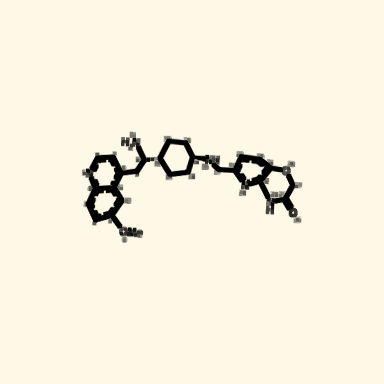 COc1ccc2nccc(CC(N)[C@H]3CC[C@H](NCc4ccc5c(n4)NC(=O)CO5)CC3)c2c1